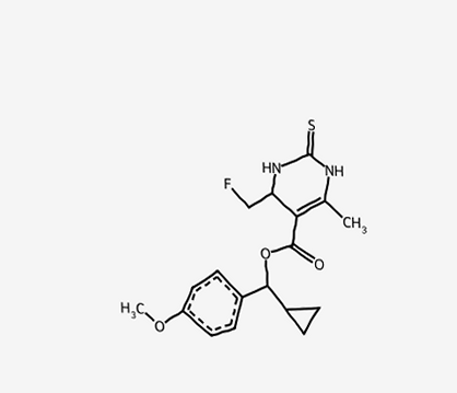 COc1ccc(C(OC(=O)C2=C(C)NC(=S)NC2CF)C2CC2)cc1